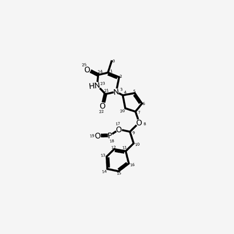 Cc1cn(C2C=CC(OC(Cc3ccccc3)OP=O)C2)c(=O)[nH]c1=O